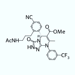 COC(=O)C1=C(C)N(c2cccc(C(F)(F)F)c2)c2n[nH]c(=O)n2[C@@H]1c1ccc(C#N)cc1CCCNC(C)=O